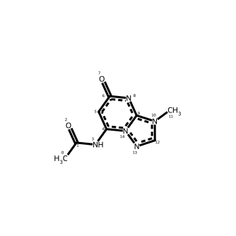 CC(=O)Nc1cc(=O)nc2n(C)cnn12